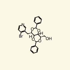 OC[C@H]1OC(c2ccccc2)O[C@@H]2[C@@H]1OC(c1ccccc1)O[C@@H]2Cc1cnccc1Br